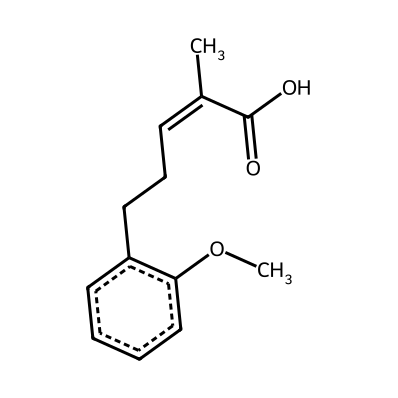 COc1ccccc1CCC=C(C)C(=O)O